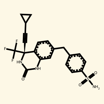 NS(=O)(=O)c1ccc(Cc2ccc3c(c2)NC(=O)N[C@]3(C#CC2CC2)C(F)(F)F)cc1